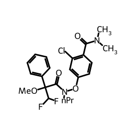 CCCN(Oc1ccc(C(=O)N(C)C)c(Cl)c1)C(=O)C(OC)(c1ccccc1)C(F)F